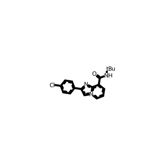 CC(C)(C)NC(=O)c1cccn2cc(-c3ccc(Cl)cc3)nc12